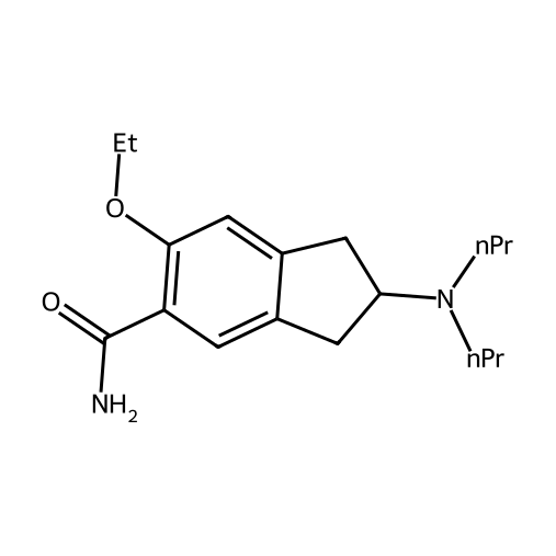 CCCN(CCC)C1Cc2cc(OCC)c(C(N)=O)cc2C1